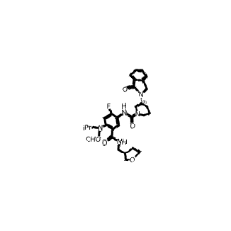 CC(C)N(C=O)c1cc(F)c(NC(=O)N2CCC[C@@H](N3Cc4ccccc4C3=O)C2)cc1C(=O)NCC1CCOC1